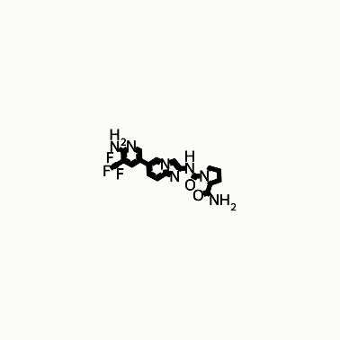 NC(=O)C1CCCN1C(=O)Nc1cn2cc(-c3cnc(N)c(C(F)(F)F)c3)ccc2n1